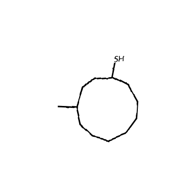 CC1CCCCCCCC(S)CC1